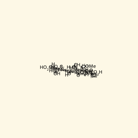 COc1cccc(OC)c1-c1cc(C(=O)NC2(C(=O)O)C3CC4CC(C3)CC2C4)nn1-c1ccc(C(=O)N(CCCNC(=O)CNCCN(CCN(CCNCC(=O)O)CC(O)O)CC(=O)O)CCCN(C)C)cc1C(C)C